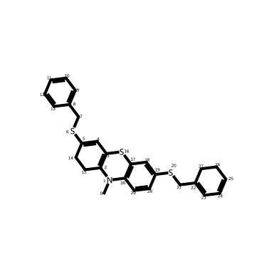 CN1C2=C(C=C(SCc3ccccc3)CC2)Sc2cc(SCC3=CC=CCC3)ccc21